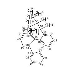 [2H]C([2H])([2H])C([2H])(C([2H])([2H])[2H])C([2H])([2H])c1ccccc1-c1ncccc1-c1ccccc1